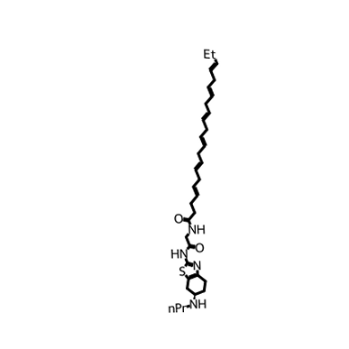 CCC=CCC=CCC=CCC=CCC=CCC=CCCC(=O)NCC(=O)Nc1nc2c(s1)C[C@H](NCCC)CC2